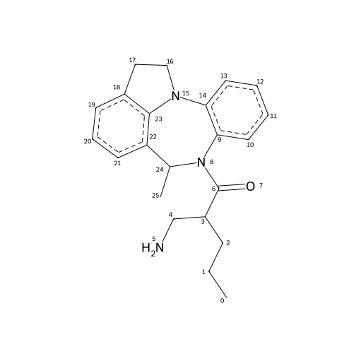 CCCC(CN)C(=O)N1c2ccccc2N2CCc3cccc(c32)C1C